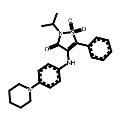 CC(C)N1C(=O)C(Nc2ccc(N3CCCCC3)cc2)=C(c2ccccc2)S1(=O)=O